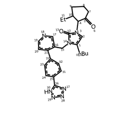 CCCCc1cn(C2C(=O)CCCC2CC)c(=O)n1Cc1cnccc1-c1ccc(-c2nnn[nH]2)cc1